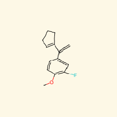 C=C(C1=CCCC1)c1ccc(OC)c(F)c1